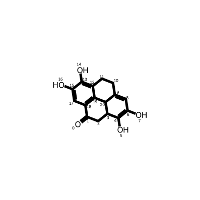 O=C1CC2C(O)=C(O)C=C3CCc4c(O)c(O)cc1c4C32